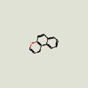 [CH]1C=COc2ccc3ccccc3c21